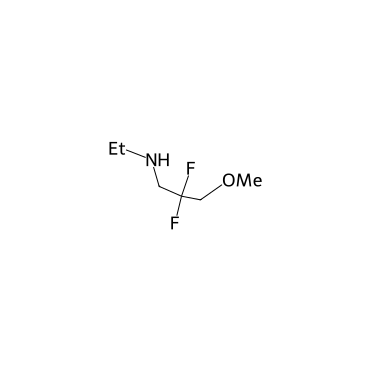 CCNCC(F)(F)COC